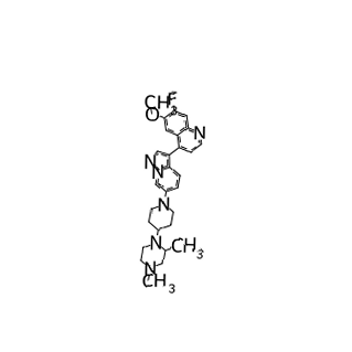 COc1cc2c(-c3cnn4cc(N5CCC(N6CCN(C)CC6C)CC5)ccc34)ccnc2cc1F